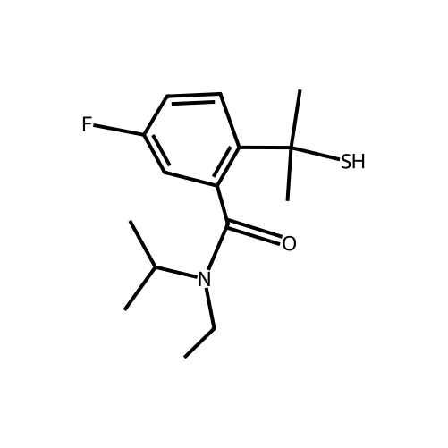 CCN(C(=O)c1cc(F)ccc1C(C)(C)S)C(C)C